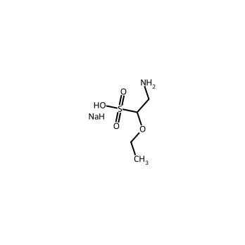 CCOC(CN)S(=O)(=O)O.[NaH]